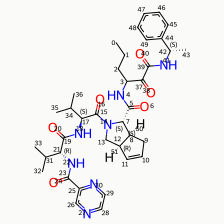 CCCC(NC(=O)[C@@H]1[C@H]2CC=C[C@H]2CN1C(=O)[C@@H](NC(=O)[C@H](NC(=O)c1cnccn1)C(C)C)C(C)C)C(=O)C(=O)N[C@@H](C)c1ccccc1